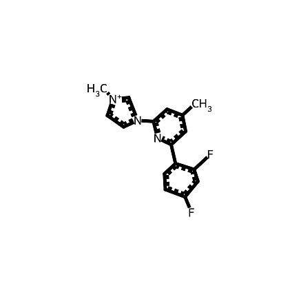 Cc1cc(-c2ccc(F)cc2F)nc(-n2cc[n+](C)c2)c1